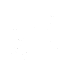 COc1cc(CC(=O)N2C[C@H](OC)C[C@H]2COc2ccc(C(=O)O)cc2)ccc1NC(=O)Nc1ccccc1C